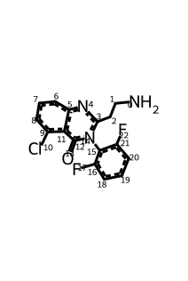 NCCc1nc2cccc(Cl)c2c(=O)n1-c1c(F)cccc1F